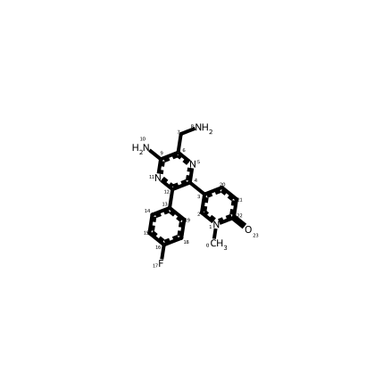 Cn1cc(-c2nc(CN)c(N)nc2-c2ccc(F)cc2)ccc1=O